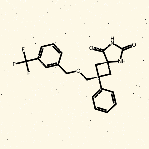 O=C1NC(=O)[C@]2(C[C@@](COCc3cccc(C(F)(F)F)c3)(c3ccccc3)C2)N1